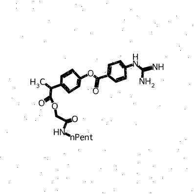 CCCCCNC(=O)COC(=O)C(C)c1ccc(OC(=O)c2ccc(NC(=N)N)cc2)cc1